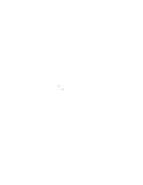 c1ccc(CN2CCCC3(CCC2)OCCO3)cc1